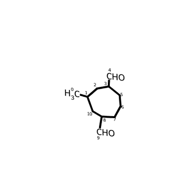 CC1CC(C=O)CCCC(C=O)C1